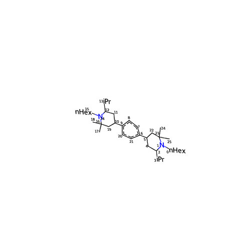 CCCCCCN1C(C(C)C)CC(c2ccc(C3CC(C(C)C)N(CCCCCC)C(C)(C)C3)cc2)CC1(C)C